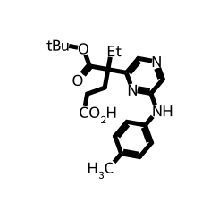 CCC(CCC(=O)O)(C(=O)OC(C)(C)C)c1cncc(Nc2ccc(C)cc2)n1